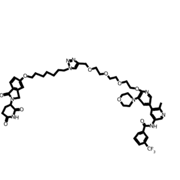 Cc1ncc(NC(=O)c2cccc(C(F)(F)F)c2)cc1-c1cnc(OCCOCCOCCOCc2cn(CCCCCCCOc3ccc4c(c3)CN(C3CCC(=O)NC3=O)C4=O)nn2)c(N2CCOCC2)c1